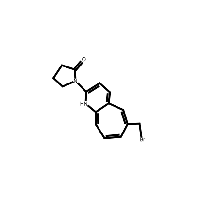 O=C1CCCN1C1=CC=C2C=C(CBr)C=CC=C2N1